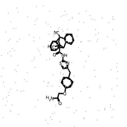 CC1(C(=O)Nc2nc(Cc3ccc(OCC(N)=O)cc3)cs2)CC2(C#N)c3ccccc3C1c1ccccc12